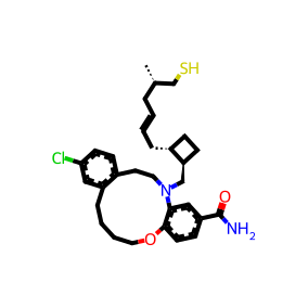 C[C@H](CS)C/C=C/C[C@@H]1CC[C@H]1CN1CCc2ccc(Cl)cc2CCCCOc2ccc(C(N)=O)cc21